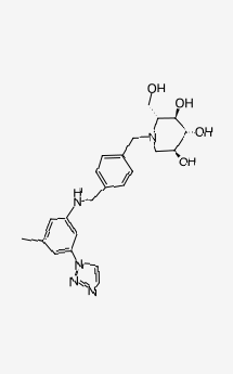 Cc1cc(NCc2ccc(CN3C[C@H](O)[C@@H](O)[C@H](O)[C@H]3CO)cc2)cc(-n2ccnn2)c1